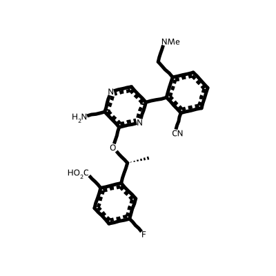 CNCc1cccc(C#N)c1-c1cnc(N)c(O[C@H](C)c2cc(F)ccc2C(=O)O)n1